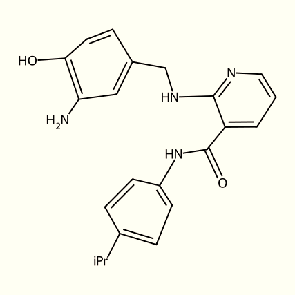 CC(C)c1ccc(NC(=O)c2cccnc2NCc2ccc(O)c(N)c2)cc1